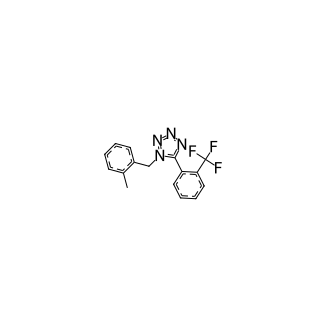 Cc1ccccc1Cn1nnnc1-c1ccccc1C(F)(F)F